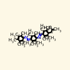 Cc1c(C)c(C)c(N=Nc2c(C)c(C)c(N=Nc3c(C)c(C)c(CC(C)C)c(C)c3C)c(C)c2C)c(C)c1C